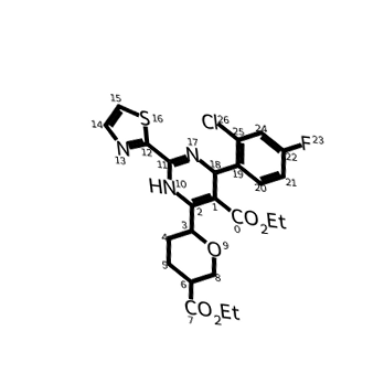 CCOC(=O)C1=C(C2CCC(C(=O)OCC)CO2)NC(c2nccs2)=NC1c1ccc(F)cc1Cl